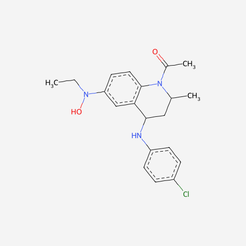 CCN(O)c1ccc2c(c1)C(Nc1ccc(Cl)cc1)CC(C)N2C(C)=O